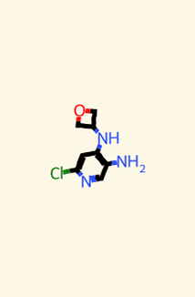 Nc1cnc(Cl)cc1NC1COC1